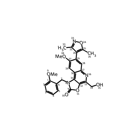 COc1ccccc1Cn1c(=O)oc2c(CO)nc3cc(-c4c(C)noc4C)c(OC)cc3c21